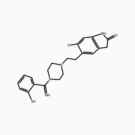 N=C(c1ccccc1S)N1CCN(CCc2cc3c(cc2Cl)NC(=O)C3)CC1